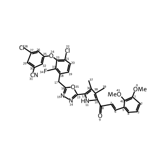 COc1cccc(C=CC(=O)c2[nH]c(-c3nnc(Cc4ccc(Cl)c(Oc5cc(Cl)cc(C#N)c5)c4F)o3)c(C)c2C)c1OC